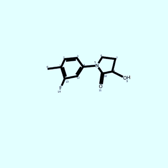 Cc1ccc(N2CCC(O)C2=O)cc1F